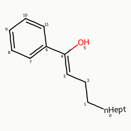 CCCCCCCCCC=C(O)c1ccccc1